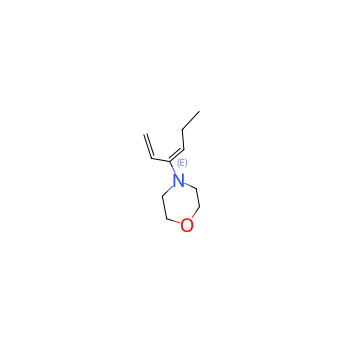 C=C/C(=C\CC)N1CCOCC1